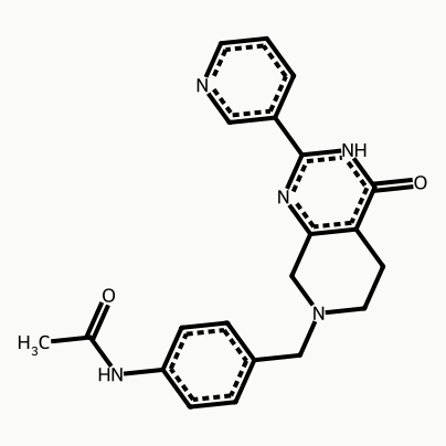 CC(=O)Nc1ccc(CN2CCc3c(nc(-c4cccnc4)[nH]c3=O)C2)cc1